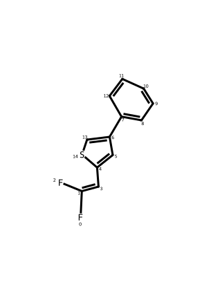 FC(F)=Cc1cc(-c2ccccc2)cs1